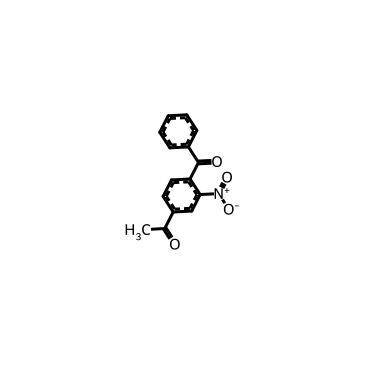 CC(=O)c1ccc(C(=O)c2ccccc2)c([N+](=O)[O-])c1